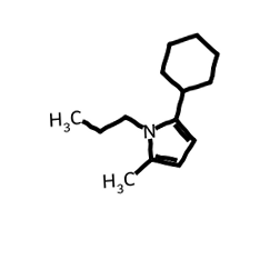 CCCn1c(C)ccc1C1CCCCC1